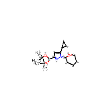 CC1(C)OB(c2cc(C3CC3)n(C3CCCCO3)n2)OC1(C)C